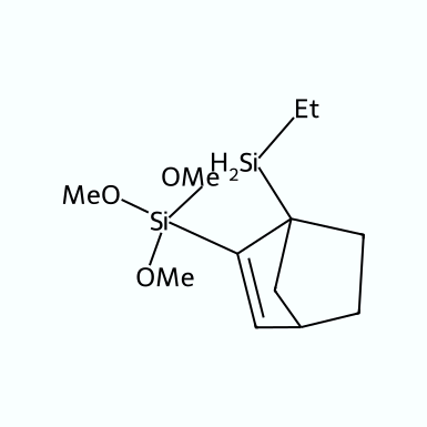 CC[SiH2]C12CCC(C=C1[Si](OC)(OC)OC)C2